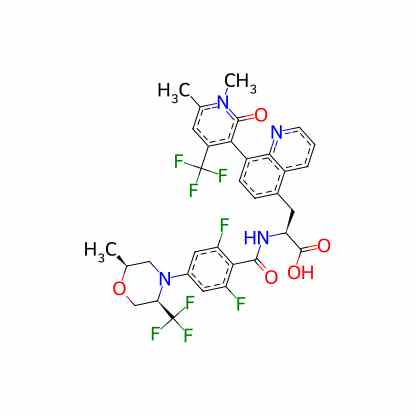 Cc1cc(C(F)(F)F)c(-c2ccc(C[C@H](NC(=O)c3c(F)cc(N4C[C@H](C)OC[C@@H]4C(F)(F)F)cc3F)C(=O)O)c3cccnc23)c(=O)n1C